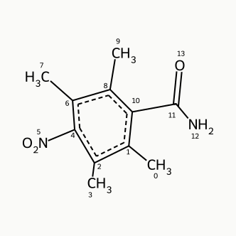 Cc1c(C)c([N+](=O)[O-])c(C)c(C)c1C(N)=O